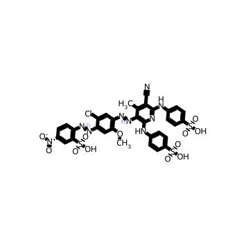 COc1cc(/N=N/c2ccc([N+](=O)[O-])cc2S(=O)(=O)O)c(Cl)cc1/N=N/c1c(Nc2ccc(S(=O)(=O)O)cc2)nc(Nc2ccc(S(=O)(=O)O)cc2)c(C#N)c1C